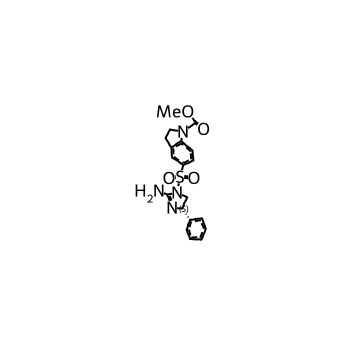 COC(=O)N1CCc2cc(S(=O)(=O)N3C[C@H](c4ccccc4)N=C3N)ccc21